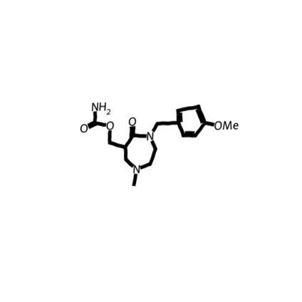 COc1ccc(CN2CCN(C)CC(COC(N)=O)C2=O)cc1